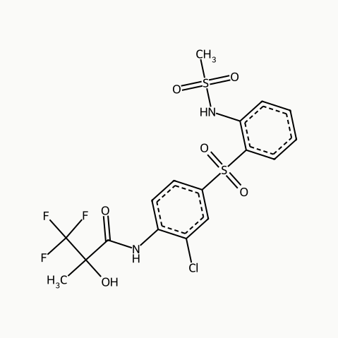 CC(O)(C(=O)Nc1ccc(S(=O)(=O)c2ccccc2NS(C)(=O)=O)cc1Cl)C(F)(F)F